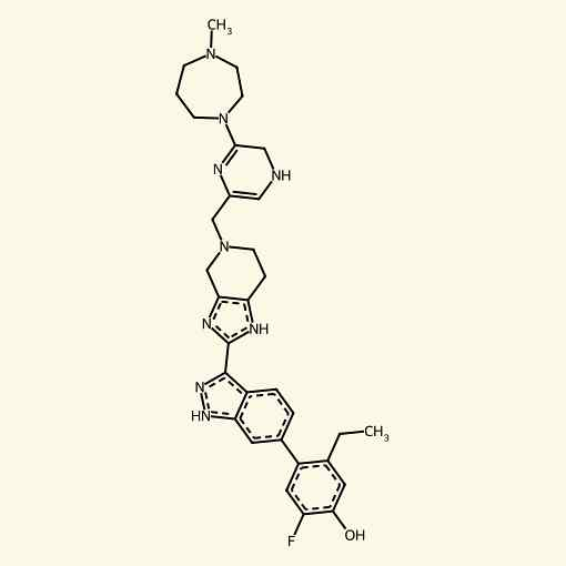 CCc1cc(O)c(F)cc1-c1ccc2c(-c3nc4c([nH]3)CCN(CC3=CNCC(N5CCCN(C)CC5)=N3)C4)n[nH]c2c1